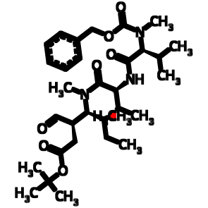 CCC(C)[C@@H]([C@H](C=O)CC(=O)OC(C)(C)C)N(C)C(=O)[C@@H](NC(=O)[C@H](C(C)C)N(C)C(=O)OCc1ccccc1)C(C)C